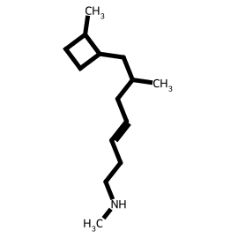 CNCCC=CCC(C)CC1CCC1C